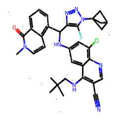 Cn1ccc2c(C(Nc3cc(Cl)c4ncc(C#N)c(NCC(C)(C)C)c4c3)c3nnn(C45CC(C4)C5)c3F)cccc2c1=O